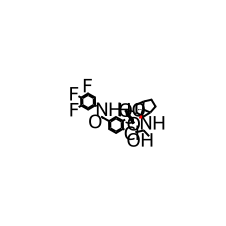 CC(CO)NC[C@]1(O)C2CCC1C[C@@H](S(=O)(=O)c1cc(C(=O)Nc3cc(F)c(F)c(F)c3)ccc1Cl)C2